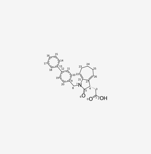 O=C(O)C[C@@H]1C(=O)N(Cc2ccc(-c3ccccc3)cc2)C2=CCCCC=C21